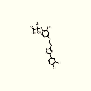 Cc1cc(SCCc2nc(-c3ccc(Cl)c(Cl)c3)ns2)ccc1OC(C)(C)C(=O)O